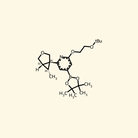 C[C@@H]1[C@@H]2COC[C@]12c1cc(B2OC(C)(C)C(C)(C)O2)cc(OCCOC(C)(C)C)n1